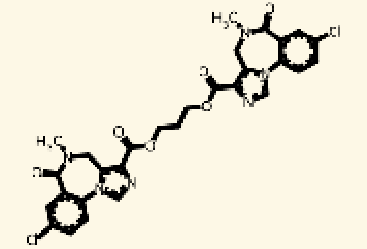 CN1Cc2c(C(=O)OCCCOC(=O)c3ncn4c3CN(C)C(=O)c3cc(Cl)ccc3-4)ncn2-c2ccc(Cl)cc2C1=O